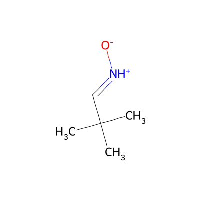 CC(C)(C)C=[NH+][O-]